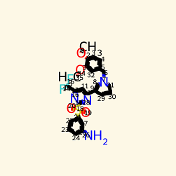 COc1ccc(CN2C=C(c3cc(C(F)F)nc(S(=O)(=O)c4cccc(N)c4)n3)C=CC2)cc1OC